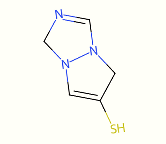 SC1=CN2CN=CN2C1